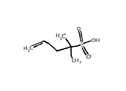 C=CCC(C)(C)S(=O)(=O)O